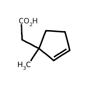 CC1(CC(=O)O)C=CCC1